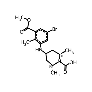 COC(=O)c1cc(Br)cc(NC2C[C@@H](C)N(C(=O)O)[C@H](C)C2)c1C